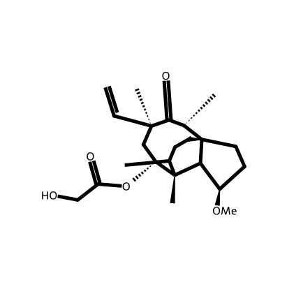 C=C[C@]1(C)C[C@@H](OC(=O)CO)[C@]2(C)C(C)CC[C@]3(CC[C@@H](OC)C32)[C@@H](C)C1=O